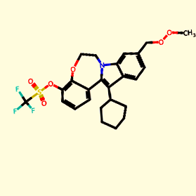 COOCc1ccc2c(C3CCCCC3)c3n(c2c1)CCOc1c(OS(=O)(=O)C(F)(F)F)cccc1-3